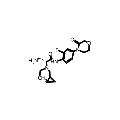 CCN(CC1CC1)[C@H](CN)C(=O)Nc1ccc(N2CCOCC2=O)cc1F